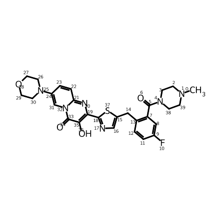 CN1CCN(C(=O)c2cc(F)ccc2Cc2cnc(-c3nc4ccc(N5CCOCC5)cn4c(=O)c3O)s2)CC1